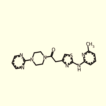 Cc1cccc(Nc2nc(CC(=O)N3CCN(c4ncccn4)CC3)cs2)n1